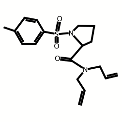 C=CCN(CC=C)C(=O)C1CCCN1S(=O)(=O)c1ccc(C)cc1